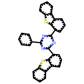 c1ccc(-c2nc(-c3cccc4c3sc3ccccc34)nc(-c3cccc4c3sc3ccccc34)n2)cc1